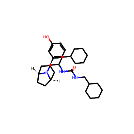 O=C(NCC1CCCCC1)NC(CC1CCCCC1)CN1[C@@H]2CC[C@H]1C[C@@H](c1cccc(O)c1)C2